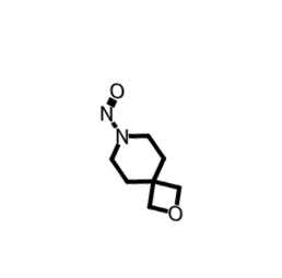 O=NN1CCC2(CC1)COC2